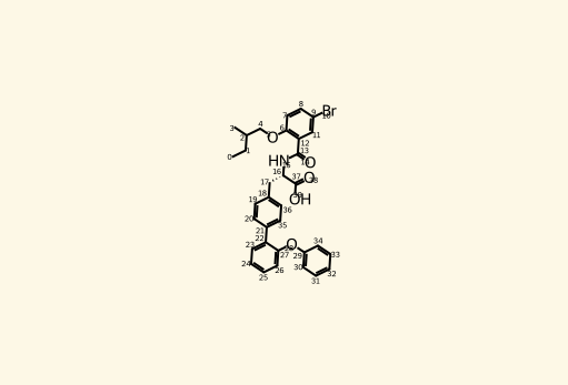 CCC(C)COc1ccc(Br)cc1C(=O)N[C@@H](Cc1ccc(-c2ccccc2Oc2ccccc2)cc1)C(=O)O